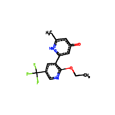 CCOc1ncc(C(F)(F)F)cc1-c1cc(=O)cc(C)[nH]1